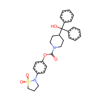 O=C(Oc1ccc(N2CCCS2(=O)=O)cc1)N1CCC(C(O)(c2ccccc2)c2ccccc2)CC1